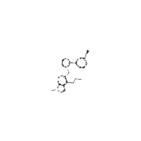 CCCc1c(Cn2ccnc2-c2cccc(C#N)n2)nnc2c1cnn2C